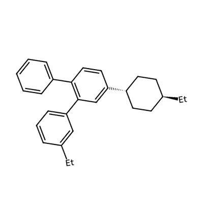 CCc1cccc(-c2cc([C@H]3CC[C@H](CC)CC3)ccc2-c2ccccc2)c1